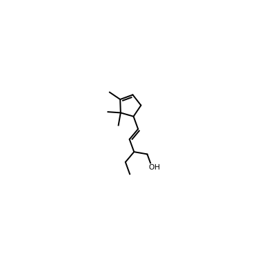 CCC(/C=C/C1CC=C(C)C1(C)C)CO